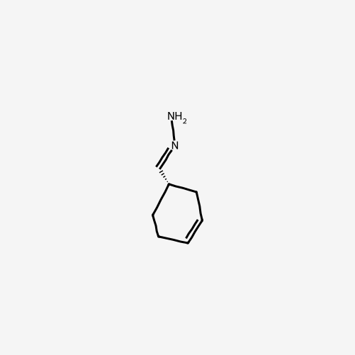 NN=C[C@@H]1CC=CCC1